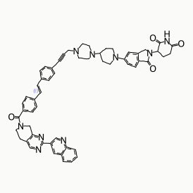 O=C1CCC(N2Cc3cc(N4CCC(N5CCN(CC#Cc6ccc(/C=C/c7ccc(C(=O)N8CCc9cnc(-c%10cnc%11ccccc%11c%10)nc9C8)cc7)cc6)CC5)CC4)ccc3C2=O)C(=O)N1